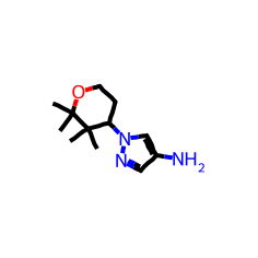 CC1(C)OCCC(n2cc(N)cn2)C1(C)C